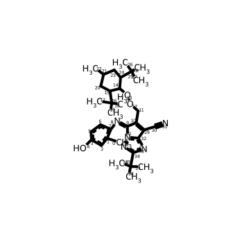 Cc1cc(O)ccc1/N=C1/C(COOC2C(C(C)(C)C)CC(C)CC2C(C)(C)C)=C(C#N)c2nc(C(C)(C)C)nn21